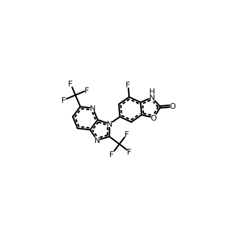 O=c1[nH]c2c(F)cc(-n3c(C(F)(F)F)nc4ccc(C(F)(F)F)nc43)cc2o1